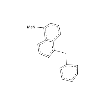 CNc1cccc2c(Cc3ccccc3)cccc12